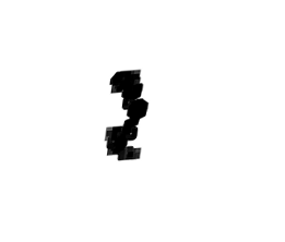 CC(C)(C)c1cc(NC(=O)CCc2cccc(Oc3ccnc(C4=NCCN4)c3)c2)on1